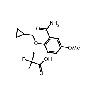 COc1ccc(OCC2CC2)c(C(N)=O)c1.O=C(O)C(F)(F)F